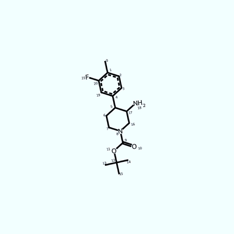 Cc1ccc(C2CCN(C(=O)OC(C)(C)C)CC2N)cc1F